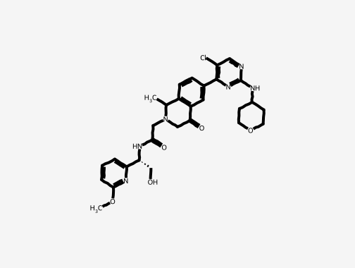 COc1cccc([C@@H](CO)NC(=O)CN2CC(=O)c3cc(-c4nc(NC5CCOCC5)ncc4Cl)ccc3C2C)n1